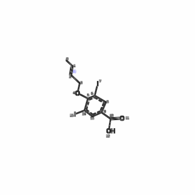 C/C=C/COc1c(I)cc(C(=O)O)cc1I